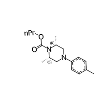 CCCOC(=O)N1[C@H](C)CN(c2ccc(C)cc2)C[C@@H]1C